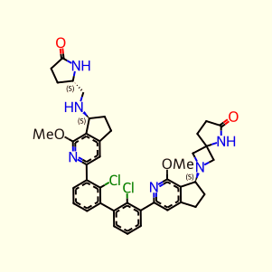 COc1nc(-c2cccc(-c3cccc(-c4cc5c(c(OC)n4)[C@@H](N4CC6(CCC(=O)N6)C4)CC5)c3Cl)c2Cl)cc2c1[C@@H](NC[C@@H]1CCC(=O)N1)CC2